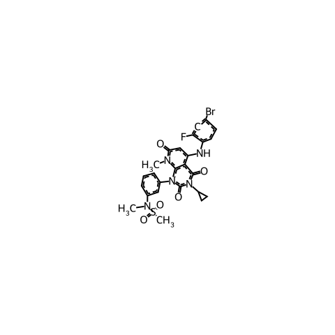 CN(c1cccc(-n2c(=O)n(C3CC3)c(=O)c3c(Nc4ccc(Br)cc4F)cc(=O)n(C)c32)c1)S(C)(=O)=O